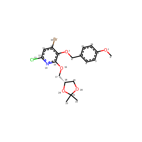 COc1ccc(COc2c(Br)cc(Cl)nc2OC[C@@H]2COC(C)(C)O2)cc1